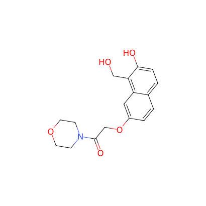 O=C(COc1ccc2ccc(O)c(CO)c2c1)N1CCOCC1